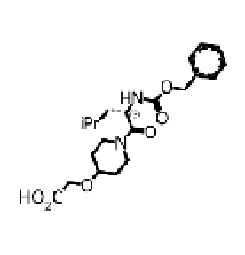 CC(C)C[C@H](NC(=O)OCc1ccccc1)C(=O)N1CCC(OCC(=O)O)CC1